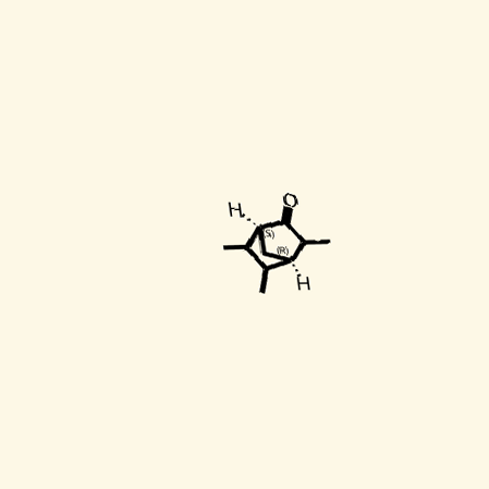 CC1C(=O)[C@H]2C[C@@H]1C(C)C2C